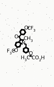 Cc1c(C(=O)c2ccc(OC(F)(F)F)cc2)c2ccc(OC(F)(F)F)cc2n1Cc1cccc(O[C@H](C)C(=O)O)c1